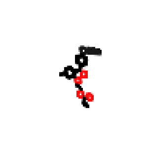 C=CC(=O)OCCOc1cc(C)ccc1C(=O)c1ccc(OC)cc1